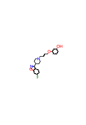 Oc1cc[c]c(OCC=CCN2CCC(c3noc4cc(F)ccc34)CC2)c1